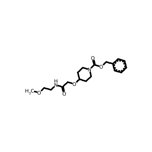 COCCNC(=O)COC1CCN(C(=O)OCc2ccccc2)CC1